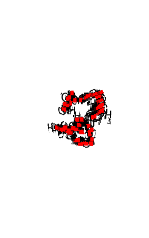 CC(C)(C)N(C(=O)O)C1CCN(S(=O)(=O)c2cccc(OC3CCN(CCOc4cccc5c4CN(C4CCC(=O)NC4=O)C5=O)CC3)c2)CC1.O=C1CCC(N2Cc3c(OCCN4CCC(Oc5cccc(S(=O)(=O)N6CCC(Nc7ncc8ccc(=O)n(C9CCCC9)c8n7)CC6)c5)CC4)cccc3C2=O)C(=O)N1